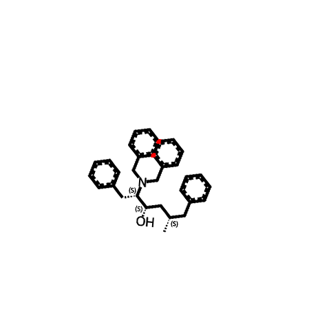 C[C@@H](Cc1ccccc1)C[C@H](O)[C@H](Cc1ccccc1)N(Cc1ccccc1)Cc1ccccc1